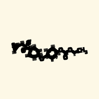 CCOC(=O)Oc1ccc(Oc2ccc(S(=O)(=O)CC3CS3)cc2)cc1